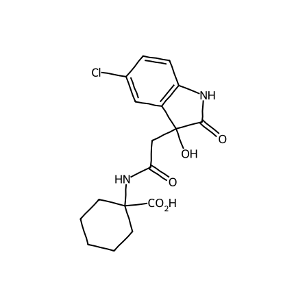 O=C(CC1(O)C(=O)Nc2ccc(Cl)cc21)NC1(C(=O)O)CCCCC1